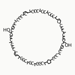 CC1CCCC2CCC(C2)C(C)CCCC(C)CCC(C)CCCC(C)C2CCC(CCCC(C)CCOC(CO)COCCC(C)CCCC3CCC(C3)C(C)CCCC(C)CCC(C)CCCC(C)C3CCC(CCCC(C)CCOC(CO)COCC1)C3)C2